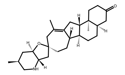 CC1=C2C[C@H]3[C@@H](CC[C@@H]4CC(=O)CC[C@@]43C)[C@@H]2CC[C@]2(C1)C[C@@H]1NC[C@@H](C)C[C@H]1O2